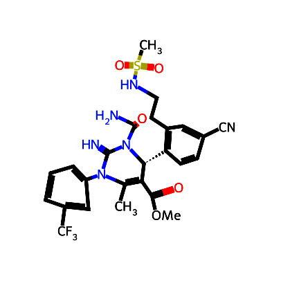 COC(=O)C1=C(C)N(c2cccc(C(F)(F)F)c2)C(=N)N(C(N)=O)[C@@H]1c1ccc(C#N)cc1CCNS(C)(=O)=O